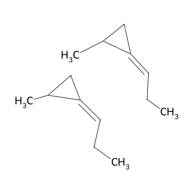 CCC=C1CC1C.CCC=C1CC1C